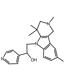 Cc1ccc2c(c1)c1c(n2CC(O)c2ccncc2)C(C)(C)CN(C)C1